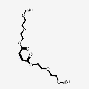 CCCCOCCOCCOC(=O)/C=C\C(=O)OCCOCCOCCCC